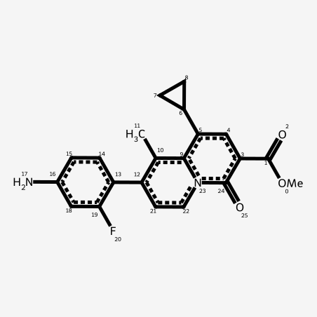 COC(=O)c1cc(C2CC2)c2c(C)c(-c3ccc(N)cc3F)ccn2c1=O